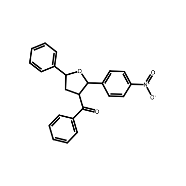 O=C(c1ccccc1)C1CC(c2ccccc2)OC1c1ccc([N+](=O)[O-])cc1